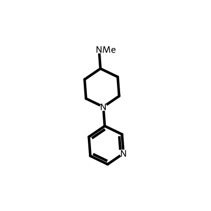 CNC1CCN(c2cccnc2)CC1